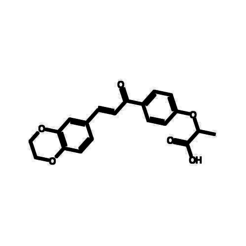 CC(Oc1ccc(C(=O)C=Cc2ccc3c(c2)OCCO3)cc1)C(=O)O